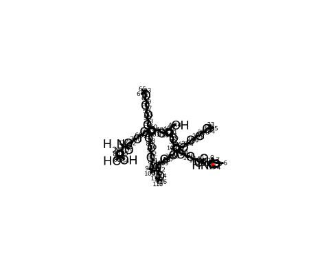 CC12CC3CC(C)(C1)CC(NC(=O)OCCOCCOc1c(OCCOCCOCCOC(C)(C)C)cc(COc4cc(CO)cc(OCc5cc(OCCOCCOCCOC(C)(C)C)c(OCCOCCOC(=O)C(N)c6ccc(O)c(O)c6)c(OCCOCCOCCOC(C)(C)C)c5)c4)cc1OCCOCCOCCOC(C)(C)C)(C3)C2